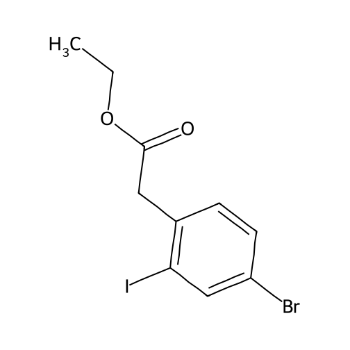 CCOC(=O)Cc1ccc(Br)cc1I